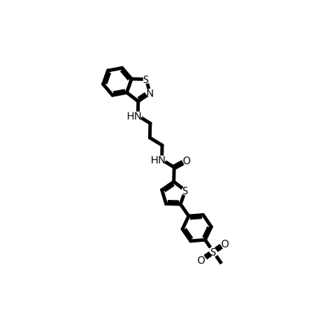 CS(=O)(=O)c1ccc(-c2ccc(C(=O)NCCCNc3nsc4ccccc34)s2)cc1